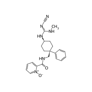 CN/C(=N\C#N)N[C@H]1CC[C@](CNC(=O)c2cccc[n+]2[O-])(c2ccccc2)CC1